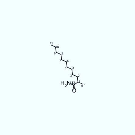 [CH2]C(CCCCCCCCCC)C(N)=O